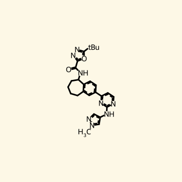 Cn1cc(Nc2nccc(-c3ccc4c(c3)CCCCC4NC(=O)c3nnc(C(C)(C)C)o3)n2)cn1